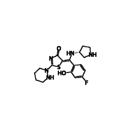 O=C1N=C(N2CCCCN2)S/C1=C(/N[C@@H]1CCNC1)c1ccc(F)cc1O